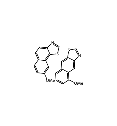 COc1ccc2ccc3ncsc3c2c1.COc1cccc2cc3scnc3cc12